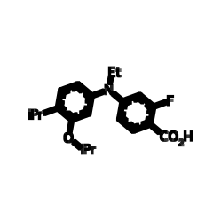 CCN(c1ccc(C(=O)O)c(F)c1)c1ccc(C(C)C)c(OC(C)C)c1